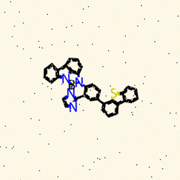 c1ccc2c(c1)sc1c(-c3ccc4c(c3)-c3nccn3B3N4c4cccc5c6ccccc6n3c45)cccc12